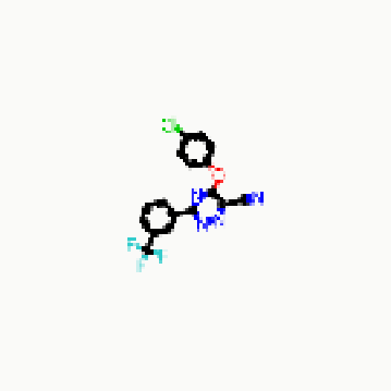 N#Cc1nnc(-c2cccc(C(F)(F)F)c2)nc1Oc1ccc(Cl)cc1